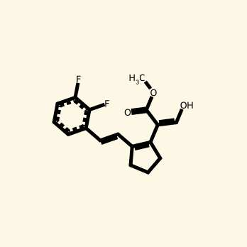 COC(=O)C(=CO)C1=C(C=Cc2cccc(F)c2F)CCC1